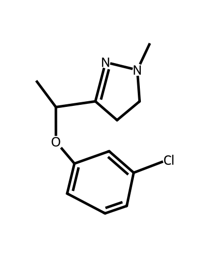 CC(Oc1cccc(Cl)c1)C1=NN(C)CC1